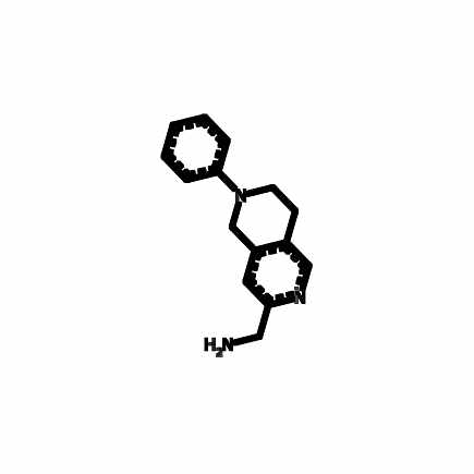 NCc1cc2c(cn1)CCN(c1ccccc1)C2